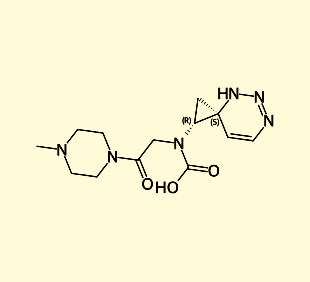 CN1CCN(C(=O)CN(C(=O)O)[C@@H]2C[C@]23C=CN=NN3)CC1